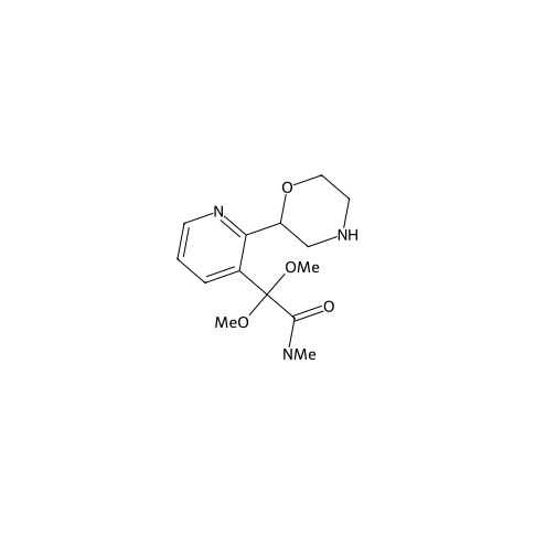 CNC(=O)C(OC)(OC)c1cccnc1C1CNCCO1